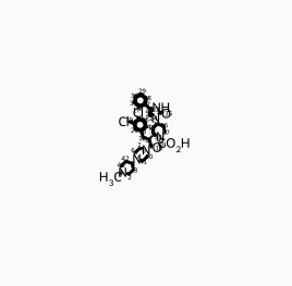 CN1CCC(N2CCN(C(=O)C(Cc3ccc(Cl)c(Cl)c3)[C@H]3CC(n4cc(-c5ccccc5)[nH]c4=O)CCN3C(=O)O)CC2)CC1